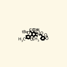 Cc1ccc(-c2c(C)c3c(c(C)c2[C@H](OC(C)(C)C)C(=O)O)CN(C(=O)c2cccc4c2OCO4)C3)c(Cl)c1